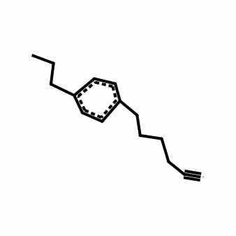 [C]#CCCCCc1ccc(CCC)cc1